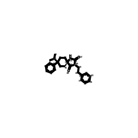 CN(C)[C@]1(c2ccccc2)CC[C@]2(CC1)NC(=O)N(CCc1cccnc1)C2=O